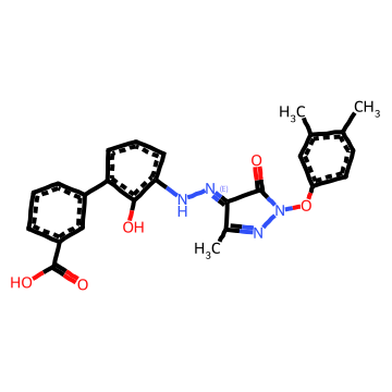 CC1=NN(Oc2ccc(C)c(C)c2)C(=O)/C1=N/Nc1cccc(-c2cccc(C(=O)O)c2)c1O